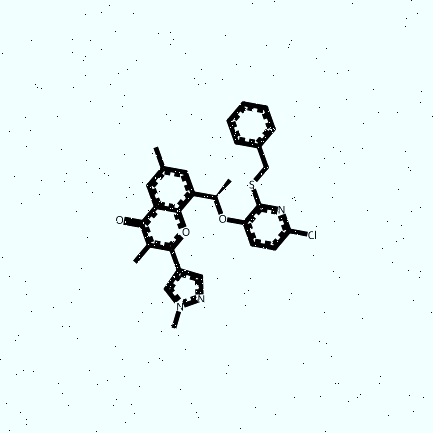 Cc1cc([C@@H](C)Oc2ccc(Cl)nc2SCc2ccccc2)c2oc(-c3cnn(C)c3)c(C)c(=O)c2c1